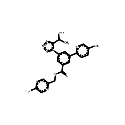 COC(C)c1nnnn1-c1cc(C(=O)NCc2cnc(C)cn2)cc(-c2ccc(C)cn2)c1